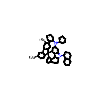 CC(C)(C)c1ccc2c(c1)-c1cc(C(C)(C)C)ccc1C21c2cccc3ccc4c(c23)c2c1cc(N(c1ccccc1)c1ccccc1)cc2n4-c1cccc2ccccc12